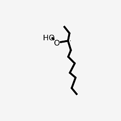 CCCCCCC[C](CC)OO